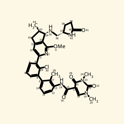 COc1nc(-c2cccc(-c3cccc(NC(=O)c4cn(C)c(=O)n(C)c4=O)c3C)c2Cl)cc2c1[C@@H](NC[C@@H]1CCC(=O)N1)[C@H](C)C2